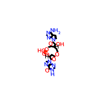 Nc1ncnc2c1ccn2[C@@H]1OC2COP(=O)(O)O[C@@H]3CC(OCC[C@H]2[C@H]1O)O[C@H]3n1cnc2c(=O)[nH]cnc21